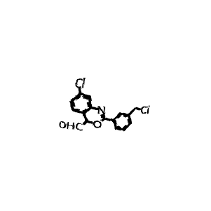 O=CC1OC(c2cccc(CCl)c2)=Nc2cc(Cl)ccc21